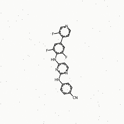 N#Cc1ccc(Nc2nccc(Nc3c(F)cc(-c4ccncc4F)cc3F)n2)cc1